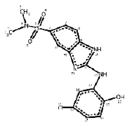 CN(C)S(=O)(=O)c1ccc2[nH]c(Nc3cc(Cl)ccc3O)nc2c1